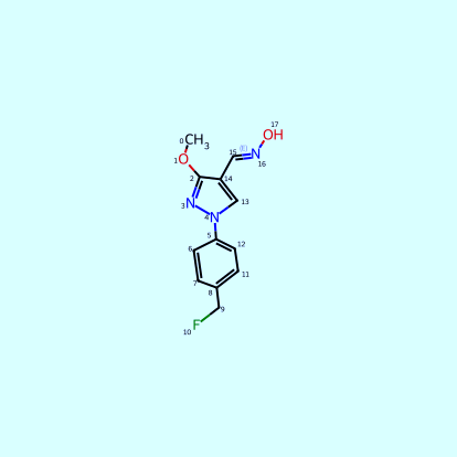 COc1nn(-c2ccc(CF)cc2)cc1/C=N/O